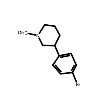 O=CN1CCCC(c2ccc(Br)cc2)C1